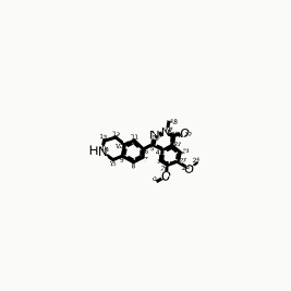 COc1cc2c(-c3ccc4c(c3)CCNC4)nn(C)c(=O)c2cc1OC